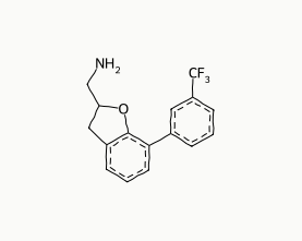 NCC1Cc2cccc(-c3cccc(C(F)(F)F)c3)c2O1